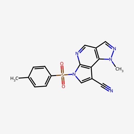 Cc1ccc(S(=O)(=O)n2cc(C#N)c3c2ncc2cnn(C)c23)cc1